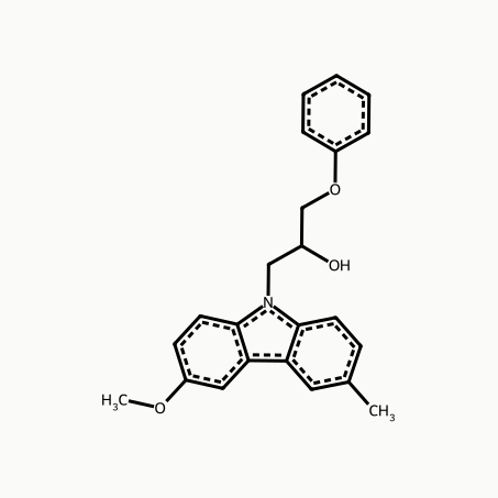 COc1ccc2c(c1)c1cc(C)ccc1n2CC(O)COc1ccccc1